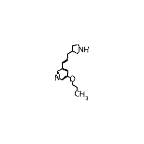 CCCOc1cncc(C=CCC2CCNC2)c1